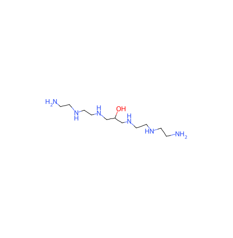 NCCNCCNCC(O)CNCCNCCN